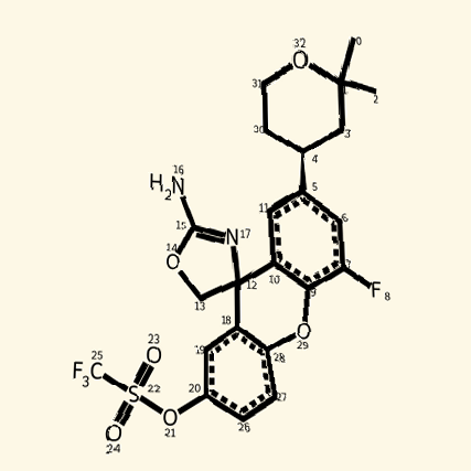 CC1(C)C[C@@H](c2cc(F)c3c(c2)C2(COC(N)=N2)c2cc(OS(=O)(=O)C(F)(F)F)ccc2O3)CCO1